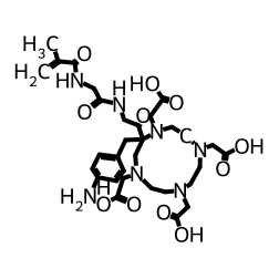 C=C(C)C(=O)NCC(=O)NCC(=O)C1(Cc2ccc(N)cc2)CN(CC(=O)O)CCN(CC(=O)O)CCN(CC(=O)O)CCN1CC(=O)O